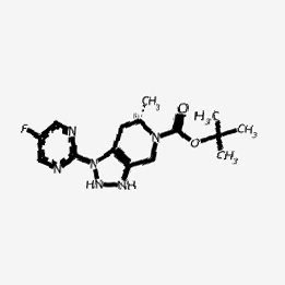 C[C@H]1CC2=C(CN1C(=O)OC(C)(C)C)NNN2c1ncc(F)cn1